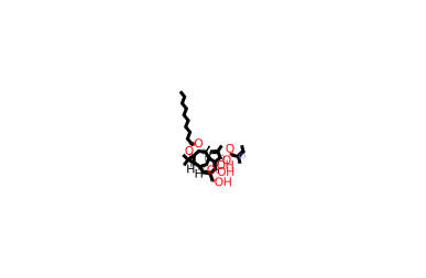 C/C=C(/C)C(=O)O[C@H]1C(C)=C[C@]23C(=O)[C@@H](C=C(CO)[C@@H](O)[C@]12O)[C@@H]1C(C)(C)[C@]1(OC(=O)CCCCCCCCC)C[C@H]3C